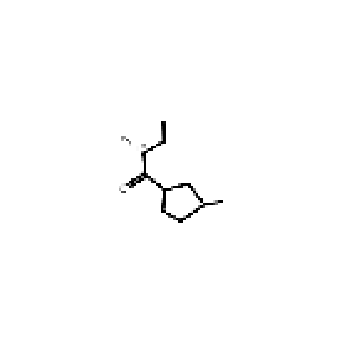 CC[C@@H](C)C(=O)C1CCC(C)C1